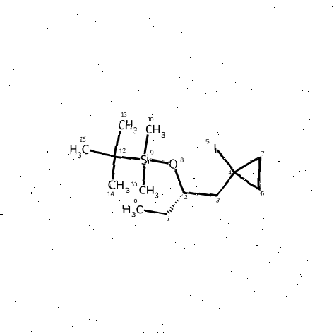 CC[C@@H](CC1(I)CC1)O[Si](C)(C)C(C)(C)C